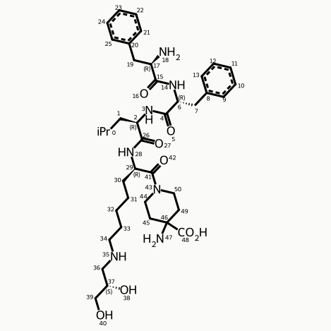 CC(C)C[C@@H](NC(=O)[C@@H](Cc1ccccc1)NC(=O)[C@H](N)Cc1ccccc1)C(=O)N[C@H](CCCCCNC[C@H](O)CO)C(=O)N1CCC(N)(C(=O)O)CC1